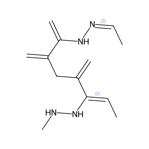 C=C(CC(=C)/C(=C/C)NNC)C(=C)N/N=C\C